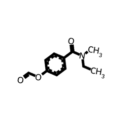 CCN(C)C(=O)c1ccc(OC=O)cc1